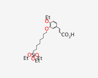 CCOc1ccc(/C=C/C(=O)O)cc1OCCCCCCCC[Si](OCC)(OCC)OCC